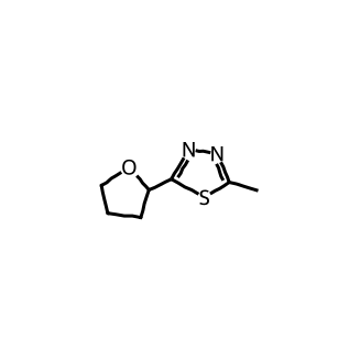 Cc1nnc(C2CCCO2)s1